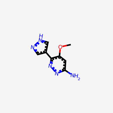 COc1cc(N)nnc1-c1cn[nH]c1